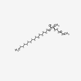 CCCCCCCCCCCCCCCCOC(=O)C(C)=CCCOCC